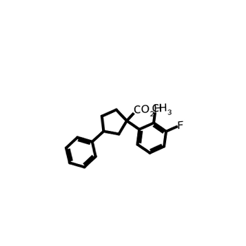 Cc1c(F)cccc1C1(C(=O)O)CCC(c2ccccc2)C1